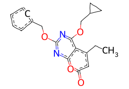 CCc1cc(=O)oc2nc(OCc3ccccc3)nc(OCC3CC3)c12